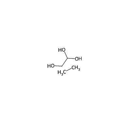 CC.OCC(O)O